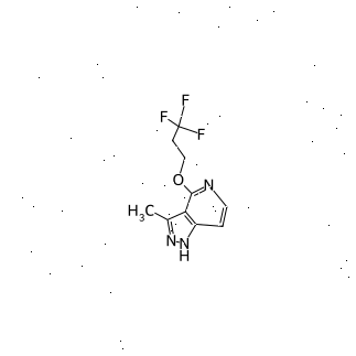 Cc1n[nH]c2ccnc(OCCC(F)(F)F)c12